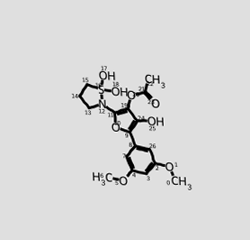 COc1cc(OC)cc(-c2oc(N3CCCS3(O)O)c(OC(C)=O)c2O)c1